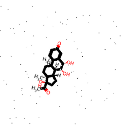 CC(=O)[C@@]1(O)CC[C@H]2[C@@H]3[C@@H](O)[C@@H](O)C4=CC(=O)C=C[C@]4(C)[C@H]3CC[C@@]21C